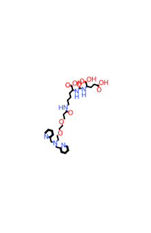 O=C(O)CCC(NC(=O)NC(CCCCNC(=O)CCOCCOCCN(Cc1ccccn1)Cc1ccccn1)C(=O)O)C(=O)O